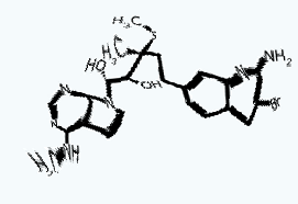 CNc1ncnc2c1ccn2[C@H](O)[C@H](O)[C@@](C)(CCc1ccc2cc(Br)c(N)nc2c1)SC